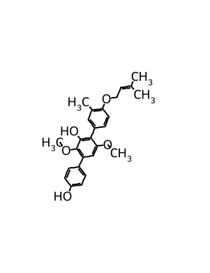 COc1cc(-c2ccc(O)cc2)c(OC)c(O)c1-c1ccc(OCC=C(C)C)c(C)c1